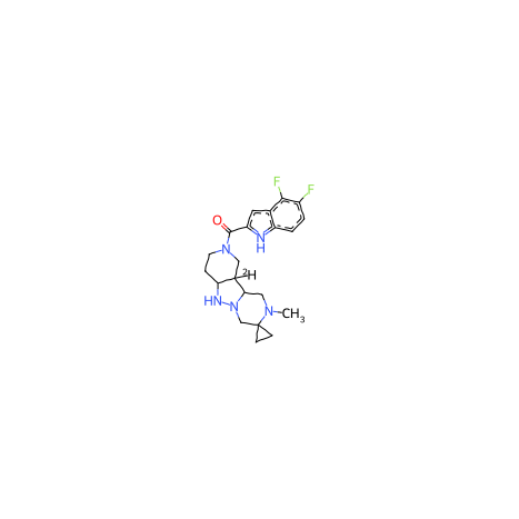 [2H]C12CN(C(=O)c3cc4c(F)c(F)ccc4[nH]3)CCC1NN1CC3(CC3)N(C)CC12